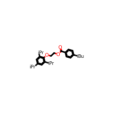 CCC(C)c1ccc(C(=O)OCCOc2c(C(C)C)cc(C(C)C)cc2C(C)C)cc1